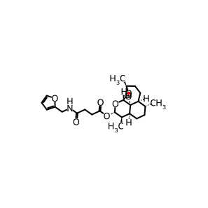 C[C@H]1[C@H](OC(=O)CCC(=O)NCc2ccco2)O[C@@H]2O[C@@]3(C)CC[C@H]4[C@H](C)CC[C@@H]1[C@@]24OO3